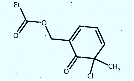 CCC(=O)OCC1=CC=CC(C)(Cl)C1=O